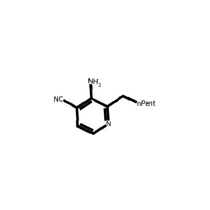 CCCCCCc1nccc(C#N)c1N